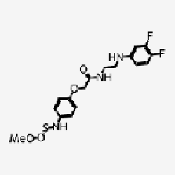 COOSNc1ccc(OCC(=O)NCCNc2ccc(F)c(F)c2)cc1